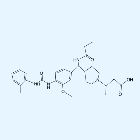 CCC(=O)NC(c1ccc(NC(=O)Nc2ccccc2C)c(OC)c1)C1CCN(C(C)CC(=O)O)CC1